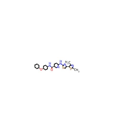 Cc1nc(C)c(-c2csc(Nc3ccc(C(=O)Nc4ccc(Oc5ccccc5)cc4)cn3)n2)s1